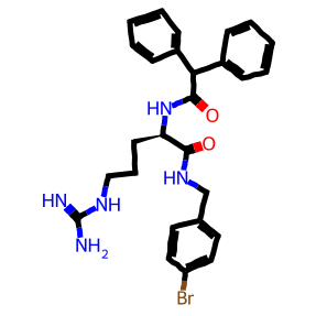 N=C(N)NCCC[C@@H](NC(=O)C(c1ccccc1)c1ccccc1)C(=O)NCc1ccc(Br)cc1